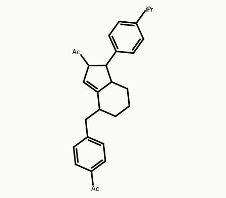 CC(=O)c1ccc(CC2CCCC3C2=CC(C(C)=O)C3c2ccc(C(C)C)cc2)cc1